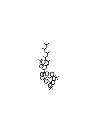 CCC(C)CC(C)CC(C)CC(C)C=C(C)C=C(CC(C)C(=O)OC1C(=O)OC(C(=O)OC(C)(C)C)C1C(=O)OC(C)(C)C)C(=O)OC(C)(C)C